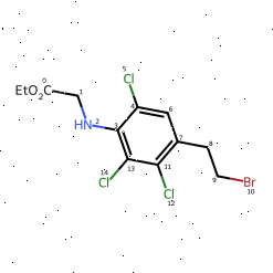 CCOC(=O)CNc1c(Cl)cc(CCBr)c(Cl)c1Cl